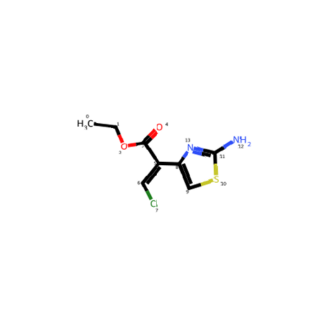 CCOC(=O)/C(=C/Cl)c1csc(N)n1